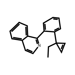 CCC1(c2ccccc2-c2nccc3ccccc23)C=C1